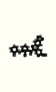 O=C(O)C[C@@H](NC(=O)Nc1cccn(Cc2ccccc2Cl)c1=O)c1ccc2c(c1)OCO2